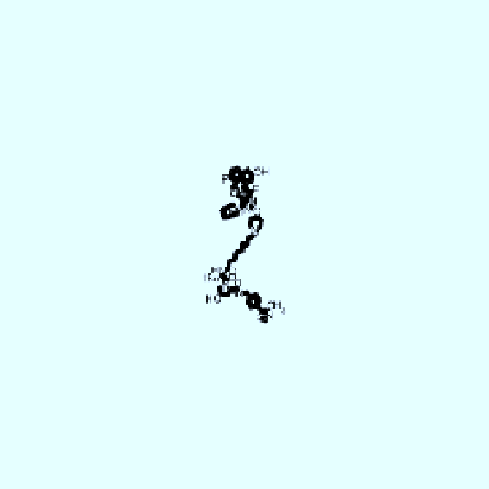 C#Cc1c(F)ccc2cc(O)cc(-c3ncc4c(N5CC6CCC(C5)N6)nc(OC5CCN(CCCCCCCCC(=O)N[C@H](C(=O)N6C[C@H](O)CC6C(=O)NCc6ccc(-c7scnc7C)cc6)C(C)(C)C)CC5)nc4c3F)c12